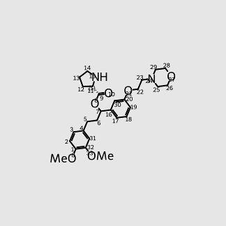 COc1ccc(CCC(OC(=O)[C@@H]2CCCN2)c2cccc(OCCN3CCOCC3)c2)cc1OC